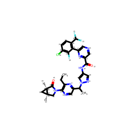 CCc1nc(C(C)n2cc(NC(=O)c3cncc(-c4c(C(F)F)ccc(Cl)c4F)n3)cn2)cnc1N1C[C@H]2C[C@H]2C1=O